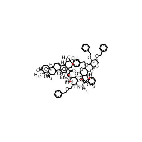 CC[Si](CC)(CC)O[C@@H]1C[C@]2(C)C(=CC[C@@H]3[C@@]4(C)CCC(=O)C(C)(C)[C@@H]4CC[C@]32C)[C@@H]2CC(C)(C)CC[C@]12C(=O)O[C@@H]1O[C@H](COCc2ccccc2)[C@H](N)[C@H](OCc2ccccc2)[C@H]1O[C@@H]1O[C@@H](C)[C@H](O[C@@H]2OC[C@@H](OCc3ccccc3)[C@H](OCc3ccccc3)[C@H]2OCc2ccccc2)[C@H]2OC(C)(C)O[C@@H]12